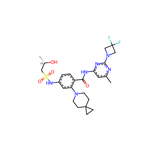 Cc1cc(NC(=O)c2ccc(NS(=O)(=O)C[C@H](C)O)cc2N2CCC3(CC2)CC3)nc(N2CC(F)(F)C2)n1